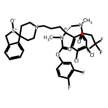 CN(C[C@](CCCN1CCC2(CC1)c1ccccc1C[S+]2[O-])(c1ccc(Cl)c(Cl)c1)N(C)C(=O)Oc1ccc(F)c(F)c1)C(=O)CC(F)(F)F